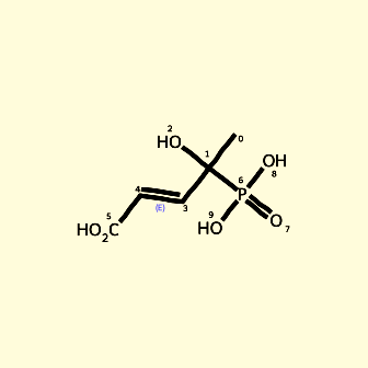 CC(O)(/C=C/C(=O)O)P(=O)(O)O